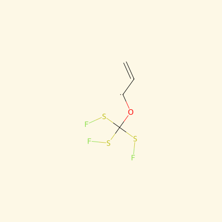 C=C[CH]OC(SF)(SF)SF